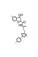 C=C(CCc1ncc(-c2ccc(C)cc2)o1)NC(=O)[C@H]1C[C@@H](O)c2cc(C)ccc2O1